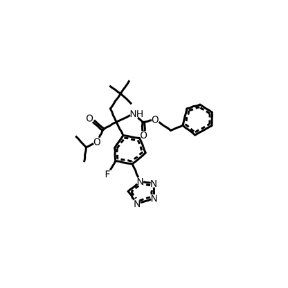 CC(C)OC(=O)C(CC(C)(C)C)(NC(=O)OCc1ccccc1)c1ccc(-n2cnnn2)c(F)c1